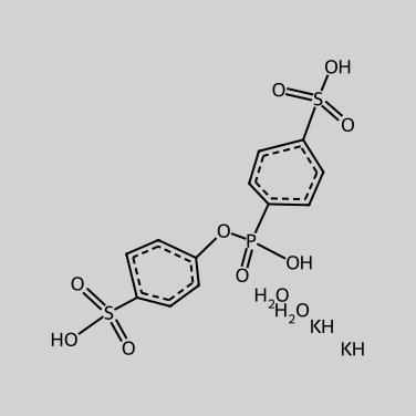 O.O.O=P(O)(Oc1ccc(S(=O)(=O)O)cc1)c1ccc(S(=O)(=O)O)cc1.[KH].[KH]